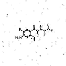 C=Cc1cc(N)c(F)cc1C(=C)C(=O)NC(F)C(F)F